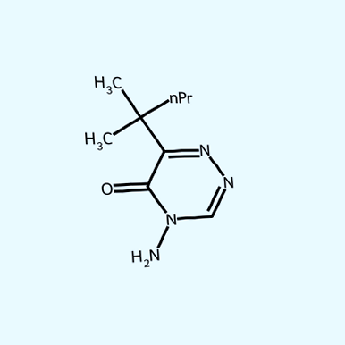 CCCC(C)(C)c1nncn(N)c1=O